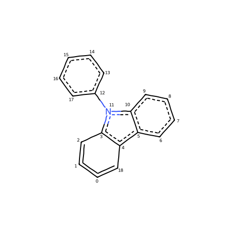 C1=C=Cc2c(c3ccccc3n2-c2ccccc2)C=1